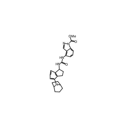 COC(=O)n1ncc2c(NC(=O)NC3CCc4c3cccc4N3C4CCCC3CC4)cccc21